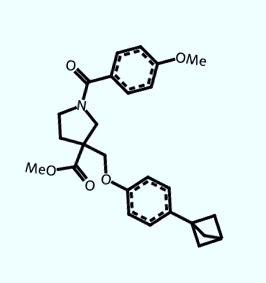 COC(=O)C1(COc2ccc(C34CC(C3)C4)cc2)CCN(C(=O)c2ccc(OC)cc2)C1